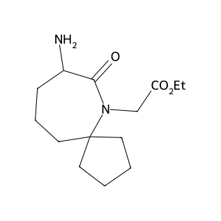 CCOC(=O)CN1C(=O)C(N)CCCC12CCCC2